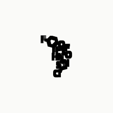 O=C(Nc1ncc(Cl)s1)C(F)(F)Oc1ccc(F)cc1F